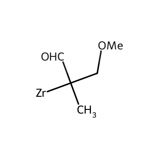 COC[C](C)([Zr])C=O